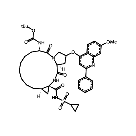 COc1ccc2c(OC3C[C@H]4C(=O)N[C@]5(C(=O)NS(=O)(=O)C6CC6)C[C@H]5CCCCCCC[C@H](NC(=O)OC(C)(C)C)C(=O)N4C3)cc(-c3ccccc3)nc2c1